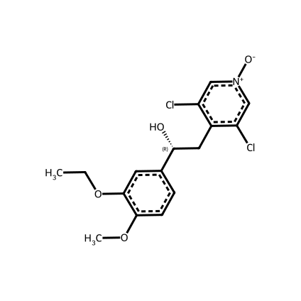 CCOc1cc([C@H](O)Cc2c(Cl)c[n+]([O-])cc2Cl)ccc1OC